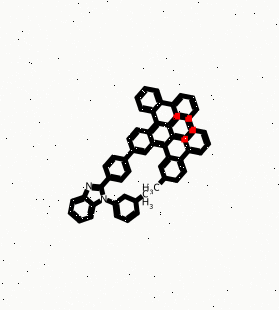 CC1C=C(c2c3ccccc3c(-c3ccccc3-c3ccccc3)c3ccc(-c4ccc(-c5nc6ccccc6n5C5=CC=CC(C)C5)cc4)cc23)C(c2ccccc2)=CC1